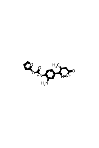 CC1CC(=O)NN=C1c1ccc(NC(=O)Oc2ccco2)c(N)c1